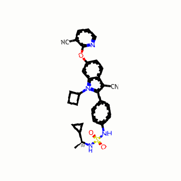 C[C@H](NS(=O)(=O)Nc1ccc(-c2c(C#N)c3ccc(Oc4ncccc4C#N)cc3n2C2CCC2)cc1)C1CC1